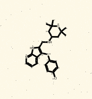 CC1(C)CC(NCc2[nH]c3ncccc3c2Sc2ccc(Cl)cc2)CC(C)(C)O1